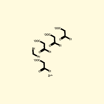 CC(=O)CC(C)=O.CCC(=O)CC(=O)[O-].CCC(=O)CC(=O)[O-].CCC(=O)CC(=O)[O-].CCC(=O)CC(=O)[O-].[Zr+4]